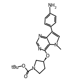 Cn1cc(-c2ccc(N)cc2)c2ncnc(O[C@H]3CCN(C(=O)OC(C)(C)C)C3)c21